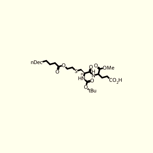 CCCCCCCCCCCCCC(=O)OCCSC[C@H](NC(=O)OC(C)(C)C)C(=O)NC(CCC(=O)O)C(=O)OC